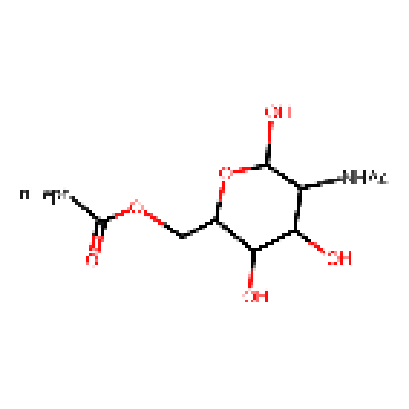 CCCCCCCC(=O)OCC1OC(O)C(NC(C)=O)C(O)C1O